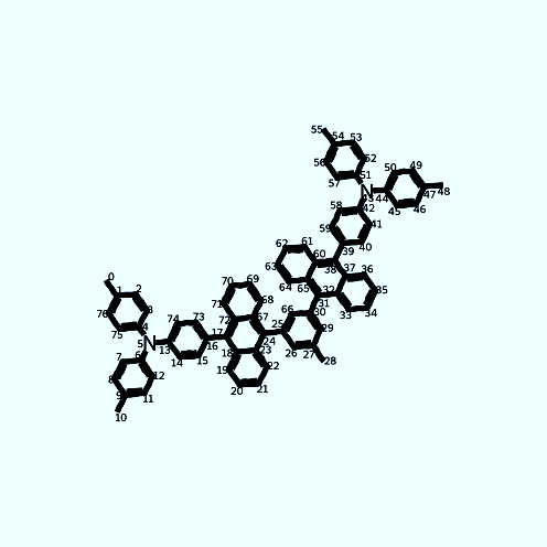 Cc1ccc(N(c2ccc(C)cc2)c2ccc(-c3c4ccccc4c(-c4cc(C)cc(-c5c6ccccc6c(-c6ccc(N(c7ccc(C)cc7)c7ccc(C)cc7)cc6)c6ccccc56)c4)c4ccccc34)cc2)cc1